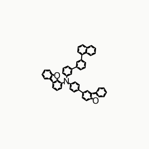 c1cc(-c2cccc(N(c3ccc(-c4ccc5oc6ccccc6c5c4)cc3)c3cccc4c3oc3ccccc34)c2)cc(-c2cccc3ccccc23)c1